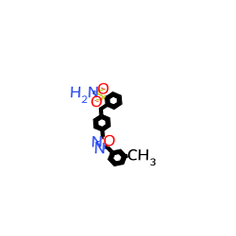 Cc1cccc(-c2nnc(-c3ccc(Cc4ccccc4S(N)(=O)=O)cc3)o2)c1